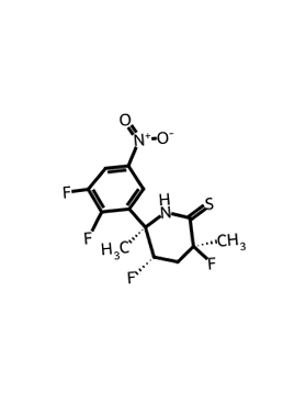 C[C@]1(F)C[C@H](F)[C@@](C)(c2cc([N+](=O)[O-])cc(F)c2F)NC1=S